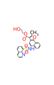 Cc1oc2c(cc(NS(=O)(=O)c3cccc4cccnc34)c3ccccc32)c1C(=O)OCCO